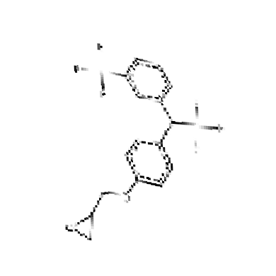 FC(F)(F)c1cccc(C(c2ccc(OCC3CO3)cc2)C(F)(F)F)c1